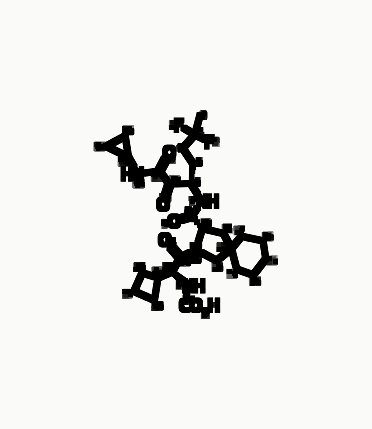 CC(F)(F)CC[C@H](NC(=O)[C@@H]1CC2(CCCCC2)CN1C(=O)[C@@H](NC(=O)O)C1CCC1)C(=O)C(=O)NC1CC1